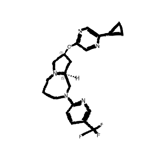 FC(F)(F)c1ccc(N2CCCN3C[C@@H](Oc4cnc(C5CC5)cn4)C[C@H]3C2)nc1